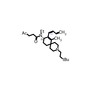 C=C/C=C\C1=C(C)C2(CC[C@@H]1N(CC)C(=O)CCC(C)=O)CCN(CCC(C)(C)C)CC2